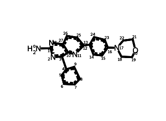 Nc1nc(-c2ccccc2)c2nc(-c3ccc(N4CCOCC4)cc3)ccc2n1